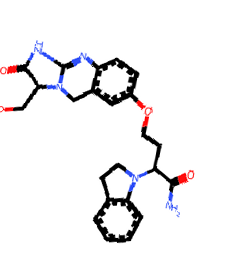 NC(=O)C(CCOc1ccc2c(c1)CN1C(=N2)NC(=O)C1CO)N1CCc2ccccc21